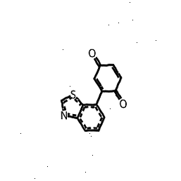 O=C1C=CC(=O)C(c2cccc3ncsc23)=C1